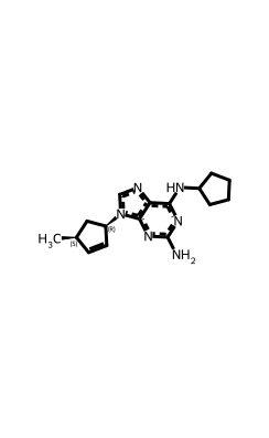 C[C@@H]1C=C[C@H](n2cnc3c(NC4CCCC4)nc(N)nc32)C1